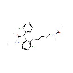 CC(C)(C)OC(=O)NCCCCCc1c(Cl)ccc2c1C(c1ccccc1Cl)C(=O)N2N